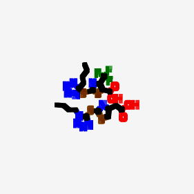 CCCCC1(Sc2nc(C(F)(F)F)c(C(=O)O)s2)N=NN=N1.CCCCn1nnnc1Sc1nc(CC(=O)O)cs1